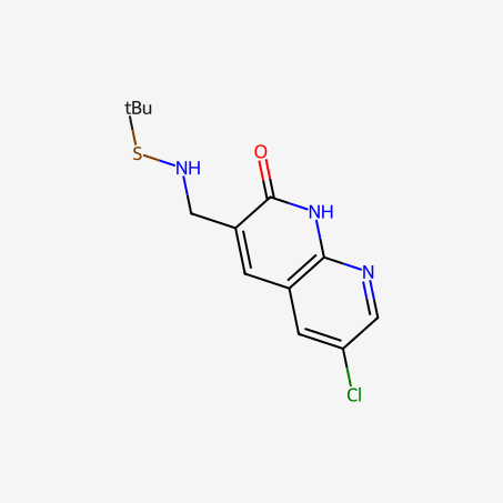 CC(C)(C)SNCc1cc2cc(Cl)cnc2[nH]c1=O